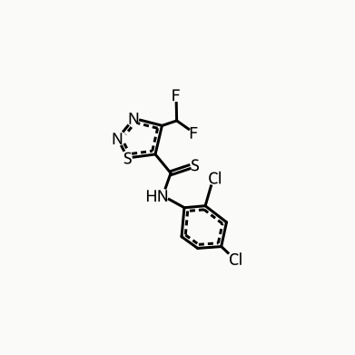 FC(F)c1nnsc1C(=S)Nc1ccc(Cl)cc1Cl